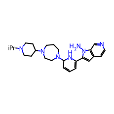 CC(C)N1CCC(N2CCCN(C3C=CC=C(c4cc5ccncc5n4N)N3)CC2)CC1